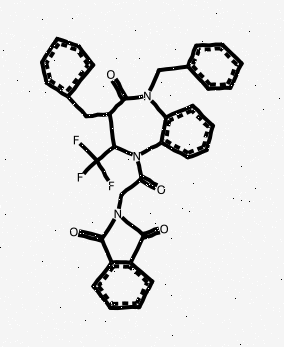 O=C1c2ccccc2C(=O)N1CC(=O)N1c2ccccc2N(Cc2ccccc2)C(=O)C(Cc2ccccc2)C1C(F)(F)F